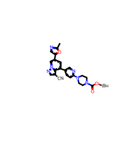 Cc1ncc(-c2cc(-c3ccc(N4CCN(C(=O)OC(C)(C)C)CC4)nc3)c3c(C#N)cnn3c2)o1